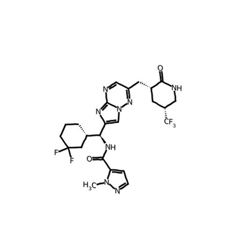 Cn1nccc1C(=O)N[C@H](c1cn2nc(C[C@H]3C[C@@H](C(F)(F)F)CNC3=O)cnc2n1)[C@H]1CCCC(F)(F)C1